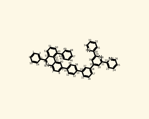 c1ccc(-c2nc3ccc(-c4ccc(-c5cccc(-c6cc(-c7ccccn7)nc(-c7ccccn7)c6)c5)cc4)cc3c3c(-c4ccccc4)cccc23)cc1